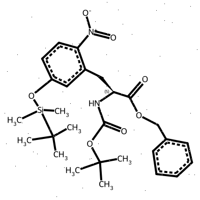 CC(C)(C)OC(=O)N[C@@H](Cc1cc(O[Si](C)(C)C(C)(C)C)ccc1[N+](=O)[O-])C(=O)OCc1ccccc1